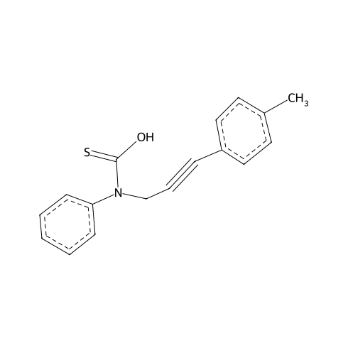 Cc1ccc(C#CCN(C(O)=S)c2ccccc2)cc1